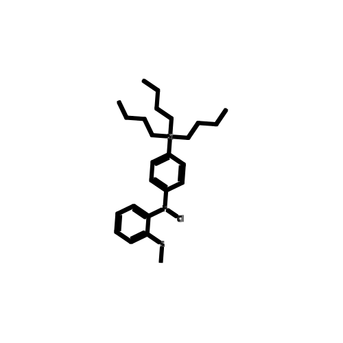 CCCC[Si](CCCC)(CCCC)c1ccc(P(Cl)c2ccccc2SC)cc1